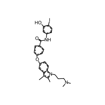 Cc1c(C)n(CCCN(C)C)c2ccc(Oc3ccc(C(=O)Nc4ccc(I)c(O)c4)cc3)cc12